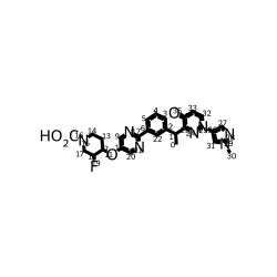 CC(c1cccc(-c2ncc(OC3CCN(C(=O)O)CC3F)cn2)c1)c1nn(-c2cnn(C)c2)ccc1=O